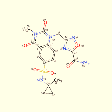 Cn1c(=O)c2cc(S(=O)(=O)NC3(C)CC3)ccc2n(Cc2noc(C(N)=O)n2)c1=O